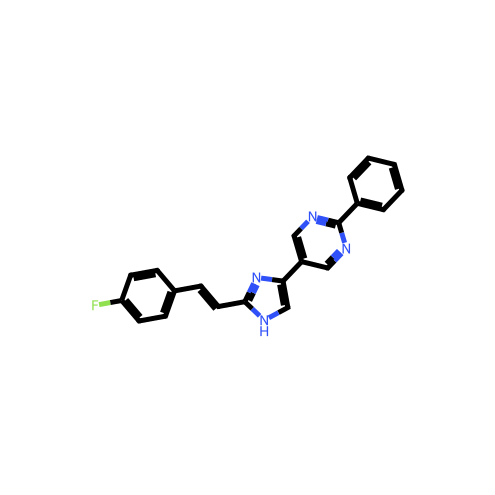 Fc1ccc(/C=C/c2nc(-c3cnc(-c4ccccc4)nc3)c[nH]2)cc1